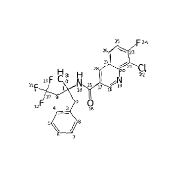 CC(Cc1ccccc1)(CC(F)(F)F)NC(=O)c1cnc2c(Cl)c(F)ccc2c1